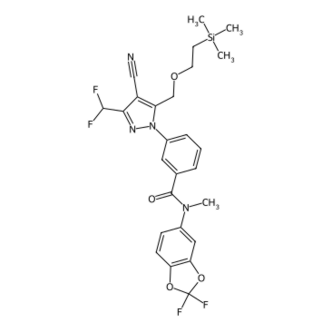 CN(C(=O)c1cccc(-n2nc(C(F)F)c(C#N)c2COCC[Si](C)(C)C)c1)c1ccc2c(c1)OC(F)(F)O2